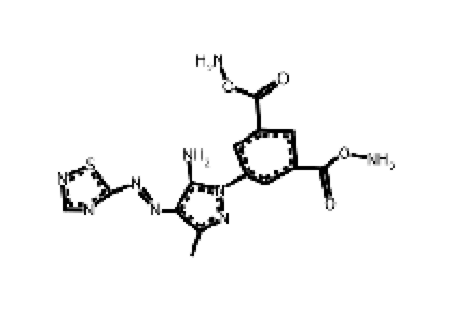 Cc1nn(-c2cc(C(=O)ON)cc(C(=O)ON)c2)c(N)c1N=Nc1ncns1